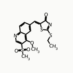 CCSC1=NC(=O)C(=Cc2ccc3ncc(S(C)(=O)=O)c(OC)c3c2)S1